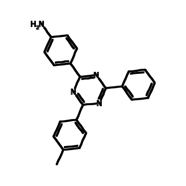 Cc1ccc(-c2nc(-c3ccccc3)nc(-c3ccc(N)cc3)n2)cc1